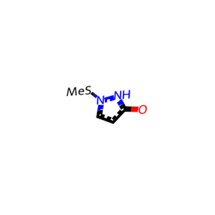 CSn1ccc(=O)[nH]1